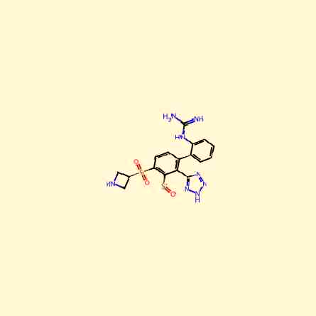 N=C(N)Nc1ccccc1-c1ccc(S(=O)(=O)C2CNC2)c([S+]=O)c1-c1nn[nH]n1